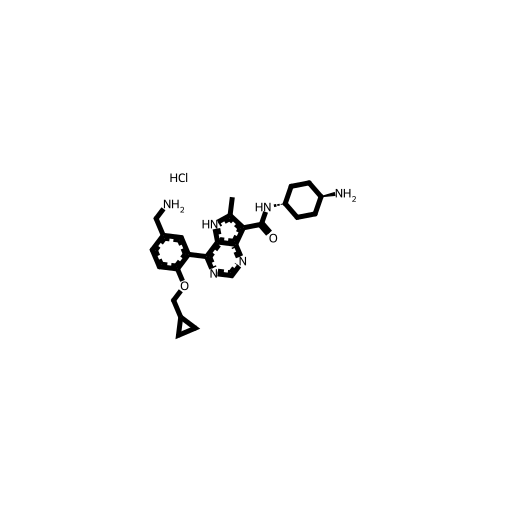 Cc1[nH]c2c(-c3cc(CN)ccc3OCC3CC3)ncnc2c1C(=O)N[C@H]1CC[C@H](N)CC1.Cl